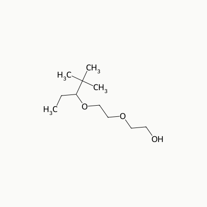 CCC(OCCOCCO)C(C)(C)C